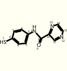 O=C(Nc1ccc(S)cc1)c1cnccn1